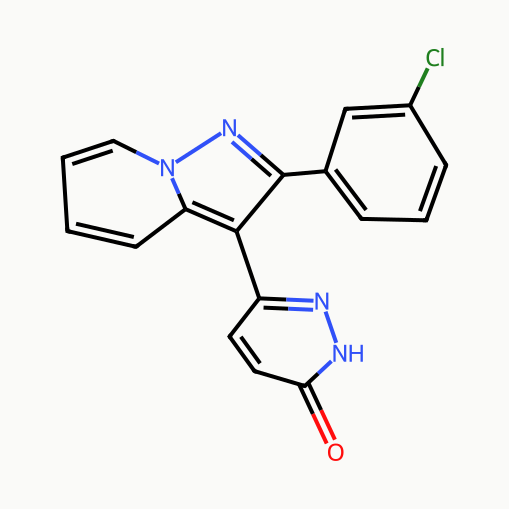 O=c1ccc(-c2c(-c3cccc(Cl)c3)nn3ccccc23)n[nH]1